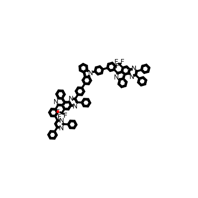 FC(F)(F)c1cc2nc(-c3ccccc3)c(-c3ccccc3)nc2c2c1c(-c1cccc(-c3ccc(-n4c5ccccc5c5cc(-c6ccc(-c7nc8c(cc(C(F)(F)F)c9c(-c%10cccc(-c%11cc(-c%12ccccc%12)nc(-c%12ccccc%12)n%11)c%10)nc%10ccccc%10c98)nc7-c7ccccc7)cc6)ccc54)cc3)c1)nc1ccccc12